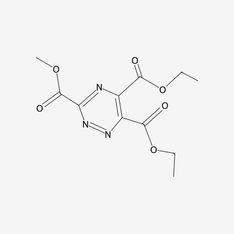 CCOC(=O)c1nnc(C(=O)OC)nc1C(=O)OCC